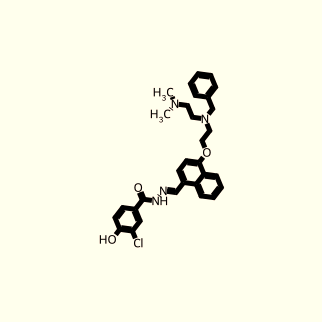 CN(C)CCN(CCOc1ccc(/C=N/NC(=O)c2ccc(O)c(Cl)c2)c2ccccc12)Cc1ccccc1